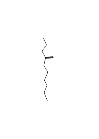 [CH2]CCCCCC(=O)CCC